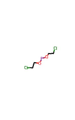 ClCCO[P]OCCCl